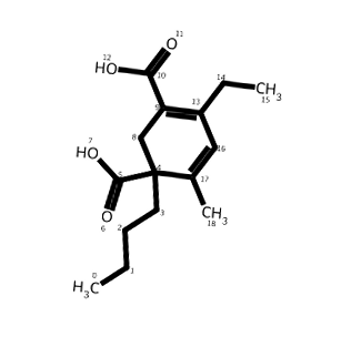 CCCCC1(C(=O)O)CC(C(=O)O)=C(CC)C=C1C